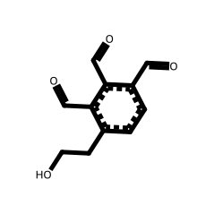 O=Cc1ccc(CCO)c(C=O)c1C=O